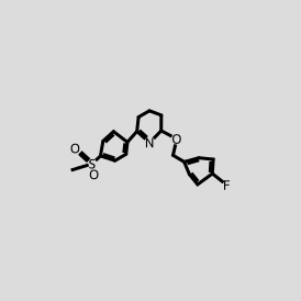 CS(=O)(=O)c1ccc(C2=NC(OCc3ccc(F)cc3)CCC2)cc1